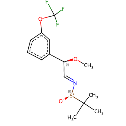 CO[C@@H](C=N[S@+]([O-])C(C)(C)C)c1cccc(OC(F)(F)F)c1